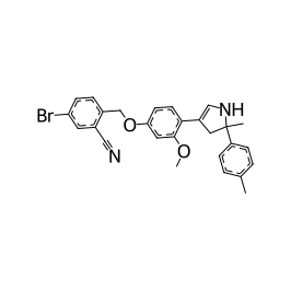 COc1cc(OCc2ccc(Br)cc2C#N)ccc1C1=CNC(C)(c2ccc(C)cc2)C1